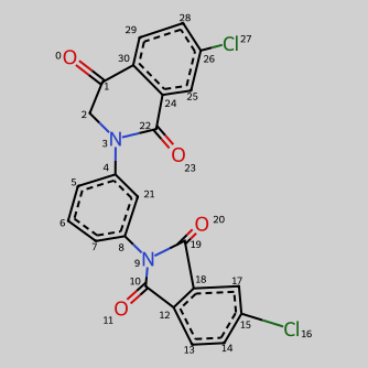 O=C1CN(c2cccc(N3C(=O)c4ccc(Cl)cc4C3=O)c2)C(=O)c2cc(Cl)ccc21